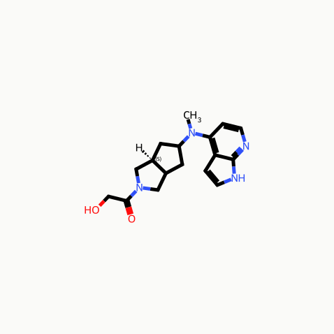 CN(c1ccnc2[nH]ccc12)C1CC2CN(C(=O)CO)C[C@H]2C1